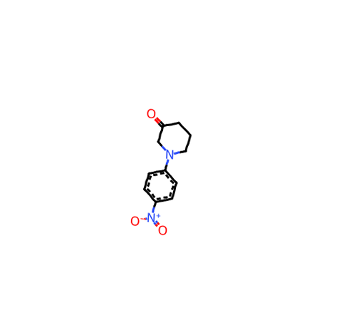 O=C1CCCN(c2ccc([N+](=O)[O-])cc2)C1